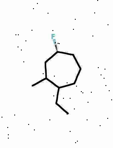 CCC1CCC[C@@H](F)CC1C